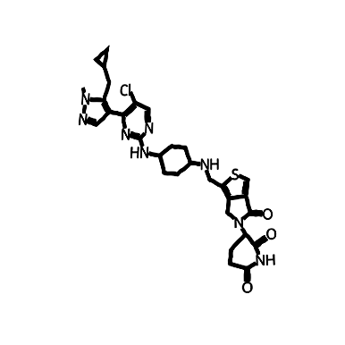 Cn1ncc(-c2nc(NC3CCC(NCc4scc5c4CN(C4CCC(=O)NC4=O)C5=O)CC3)ncc2Cl)c1CC1CC1